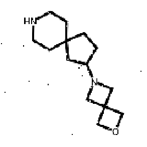 C1CC2(CCN1)CCC(N1CC3(COC3)C1)C2